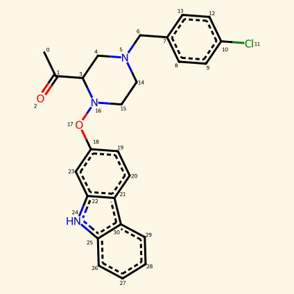 CC(=O)C1CN(Cc2ccc(Cl)cc2)CCN1Oc1ccc2c(c1)[nH]c1ccccc12